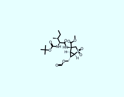 CC[C@H](C)[C@H](NC(=O)OC(C)(C)C)C(=O)N[C@@]1(C(=O)OC)CS(=O)(=O)[C@H]2[C@H](COC=O)[C@H]21